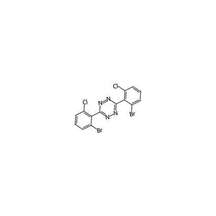 Clc1cccc(Br)c1-c1nnc(-c2c(Cl)cccc2Br)nn1